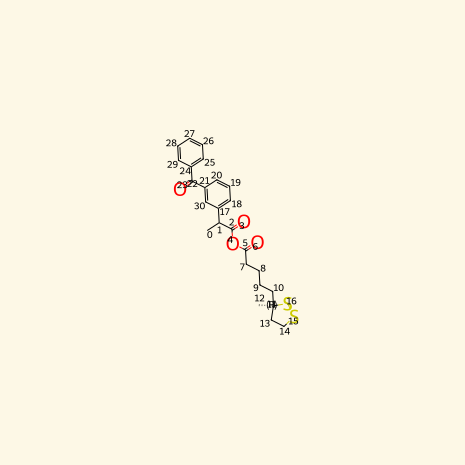 CC(C(=O)OC(=O)CCCC[C@]1(C)CCSS1)c1cccc(C(=O)c2ccccc2)c1